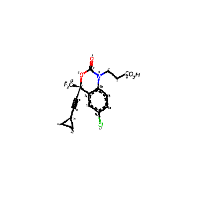 O=C(O)CCN1C(=O)O[C@](C#CC2CC2)(C(F)(F)F)c2cc(Cl)ccc21